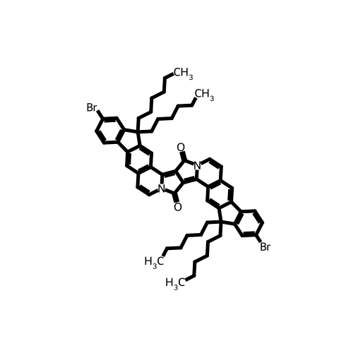 CCCCCCC1(CCCCCC)c2cc(Br)ccc2-c2cc3c(cc21)C1=C2C(=O)N4C=Cc5cc6c(cc5C4=C2C(=O)N1C=C3)C(CCCCCC)(CCCCCC)c1cc(Br)ccc1-6